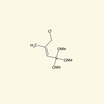 CO[Si](C=C(C)CCl)(OC)OC